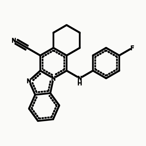 N#Cc1c2c(c(Nc3ccc(F)cc3)n3c1nc1ccccc13)CCCC2